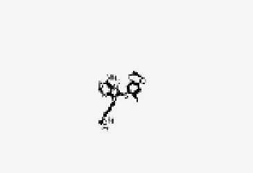 CC(C)CNCCCCn1c(Sc2cc3c(cc2I)OCCO3)nc2c(N)ncnc21